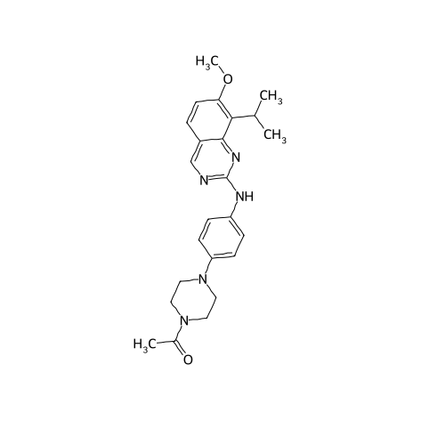 COc1ccc2cnc(Nc3ccc(N4CCN(C(C)=O)CC4)cc3)nc2c1C(C)C